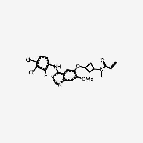 C=CC(=O)N(C)C1CC(Oc2cc3c(Nc4ccc(Cl)c(Cl)c4F)ncnc3cc2OC)C1